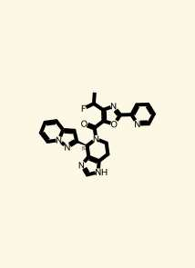 CC(F)c1nc(-c2ccccn2)oc1C(=O)N1CCc2[nH]cnc2[C@H]1c1cc2ccccn2n1